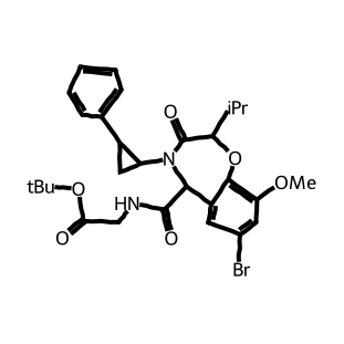 COc1cc(Br)cc2c1OC(C(C)C)C(=O)N(C1CC1c1ccccc1)C2C(=O)NCC(=O)OC(C)(C)C